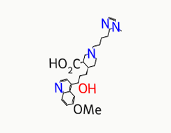 COc1ccc2nccc([C@@H](O)CC[C@@H]3CCN(CCCCc4nccn4C)C[C@@H]3C(=O)O)c2c1